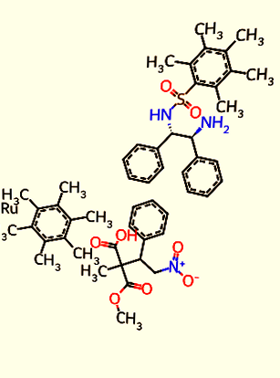 COC(=O)C(C)(C(=O)O)C(C[N+](=O)[O-])c1ccccc1.Cc1c(C)c(C)c(C)c(C)c1C.Cc1c(C)c(C)c(S(=O)(=O)N[C@@H](c2ccccc2)[C@@H](N)c2ccccc2)c(C)c1C.[Ru]